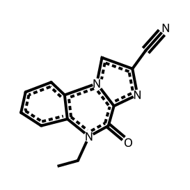 CCn1c(=O)c2nc(C#N)cn2c2ccccc21